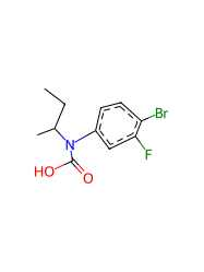 CCC(C)N(C(=O)O)c1ccc(Br)c(F)c1